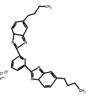 CCCCC1=CC2=NC(c3cccc(C4=NC5C=CC(CCCC)=CC5=N4)n3)=NC2C=C1.[Cl-].[Cl-].[V+2]